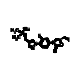 CC(C)(C)[Si](C)(C)OCc1cnn(-c2ccc(N3C[C@H](CI)OC3=O)cc2F)c1